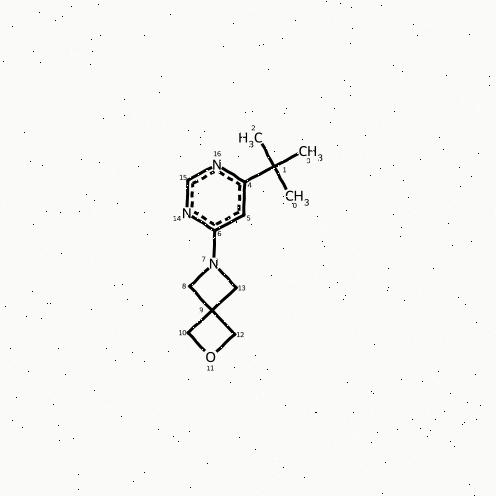 CC(C)(C)c1cc(N2CC3(COC3)C2)ncn1